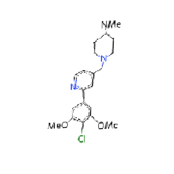 CNC1CCN(Cc2ccnc(-c3cc(OC)c(Cl)c(OC)c3)c2)CC1